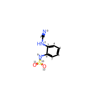 N#CNc1ccccc1N=S(=O)=O